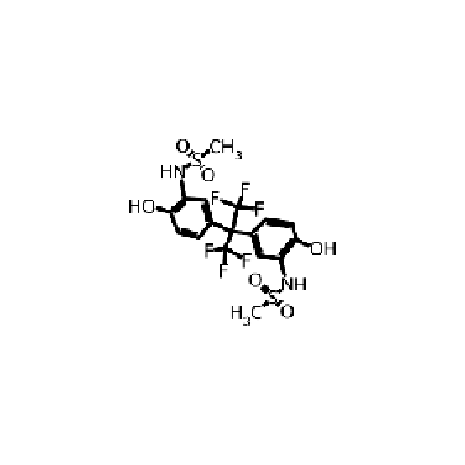 CS(=O)(=O)Nc1cc(C(c2ccc(O)c(NS(C)(=O)=O)c2)(C(F)(F)F)C(F)(F)F)ccc1O